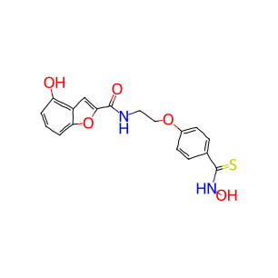 O=C(NCCOc1ccc(C(=S)NO)cc1)c1cc2c(O)cccc2o1